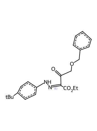 CCOC(=O)/C(=N/Nc1ccc(C(C)(C)C)cc1)C(=O)COCc1ccccc1